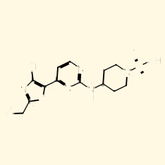 CS(=O)(=O)N1CCC(Nc2nccc(-c3sc(CO)nc3C(F)(F)F)n2)CC1